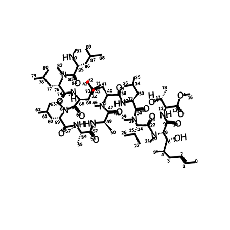 C/C=C/C[C@@H](C)[C@@H](O)[C@@H](C(=O)N[C@H](C(=O)OC)[C@@H](C)O)N(C)C(=O)[C@H](C(C)C)N(C)C(=O)[C@H](CC(C)C)NC(=O)[C@H](CC(C)C)N(C)C(=O)[C@@H](C)NC(=O)[C@H](C)NC(=O)[C@H](CC(C)C)N(C)C(=O)[C@H](CC(C)C)NC(=O)[C@H](CC(C)C)N(C)C(=O)[C@@H](CC(C)C)NC